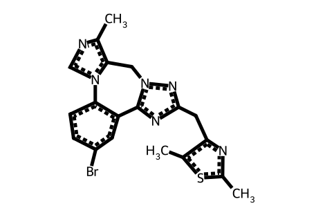 Cc1nc(Cc2nc3n(n2)Cc2c(C)ncn2-c2ccc(Br)cc2-3)c(C)s1